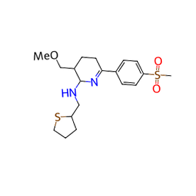 COCC1CCC(c2ccc(S(C)(=O)=O)cc2)=NC1NCC1CCCS1